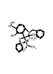 CCCNc1ccc2c(c1CCC)C(Oc1ccccc1)(S(=O)(=O)N(C)C)C(O)(C(=O)O)N2Cc1ccccc1